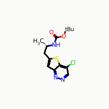 C[C@@H](Cc1cc2nncc(Cl)c2s1)NC(=O)OC(C)(C)C